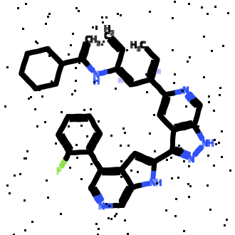 C=C/C(=C\C(=C/C)c1cc2c(-c3cc4c(-c5ccccc5F)cncc4[nH]3)n[nH]c2cn1)NC(=C)C1CCCCC1